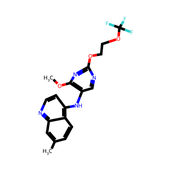 COc1nc(OCCOC(F)(F)F)ncc1Nc1ccnc2cc(C)ccc12